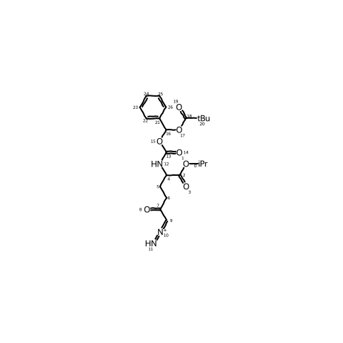 CC(C)OC(=O)C(CCC(=O)C=[N+]=N)NC(=O)OC(OC(=O)C(C)(C)C)c1ccccc1